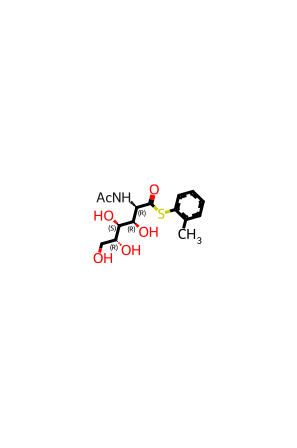 CC(=O)N[C@@H](C(=O)Sc1ccccc1C)[C@@H](O)[C@H](O)[C@H](O)CO